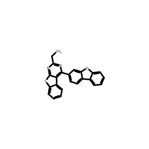 CCc1nc(-c2ccc3c(c2)oc2ccccc23)c2c(n1)sc1ccccc12